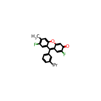 Cc1cc2oc3cc(=O)c(F)cc-3c(-c3cccc(C(C)C)c3)c2cc1F